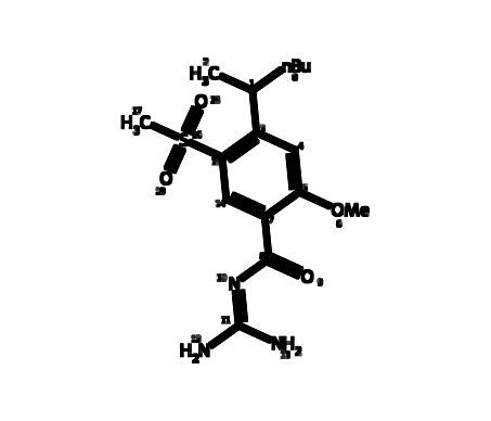 CCCCC(C)c1cc(OC)c(C(=O)N=C(N)N)cc1S(C)(=O)=O